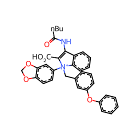 CCCCC(=O)NC1=C(C(=O)O)[N+](Cc2cccc(Oc3ccccc3)c2)(c2ccc3c(c2)OCO3)c2ccccc21